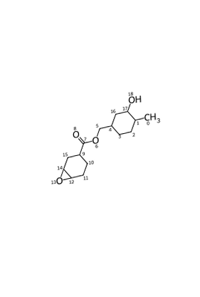 CC1CCC(COC(=O)C2CCC3OC3C2)CC1O